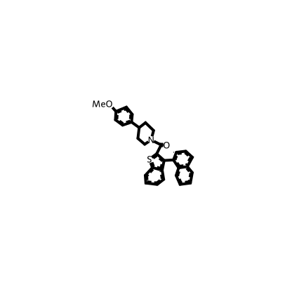 COc1ccc(C2CCN(C(=O)c3sc4ccccc4c3-c3[c]ccc4ccccc34)CC2)cc1